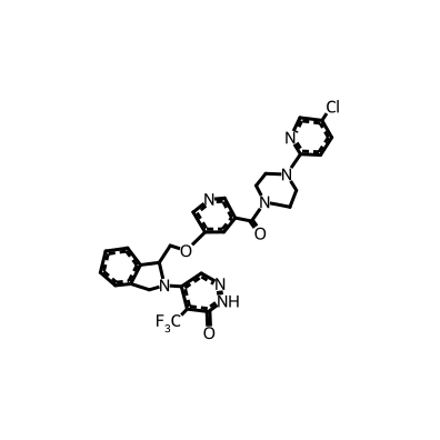 O=C(c1cncc(OCC2c3ccccc3CN2c2cn[nH]c(=O)c2C(F)(F)F)c1)N1CCN(c2ccc(Cl)cn2)CC1